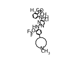 CN1CCCCCC(c2ccc(Nc3ncc(Cl)c(Nc4ccccc4P(C)(C)=O)n3)c(OC(F)F)c2)CCCCC1